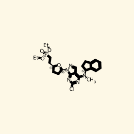 CCOP(=O)(CC[C@@H]1CC[C@H](n2ncc3c(N(C)[C@H]4CCc5ccccc54)nc(Cl)nc32)O1)OCC